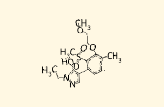 CCn1ncc(-c2c[c]c(C)c(OCCOC)c2S(C)(=O)=O)c1O